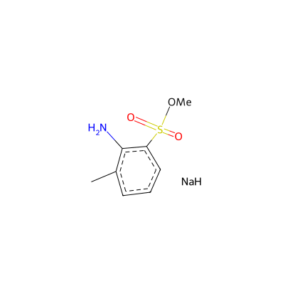 COS(=O)(=O)c1cccc(C)c1N.[NaH]